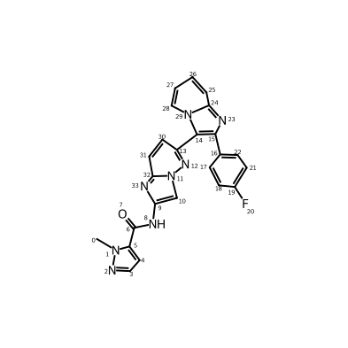 Cn1nccc1C(=O)Nc1cn2nc(-c3c(-c4ccc(F)cc4)nc4ccccn34)ccc2n1